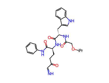 CC(C)OCC(=O)N[C@@H](Cc1c[nH]c2ccccc12)C(=O)N[C@@H](CCC(=O)C=N)C(=O)Nc1ccccc1